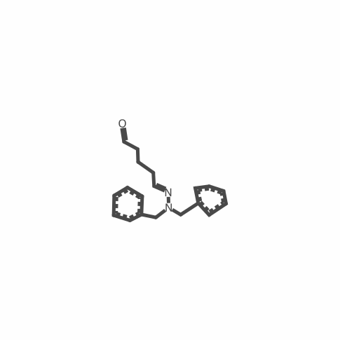 O=CCCCC=NN(Cc1ccccc1)Cc1ccccc1